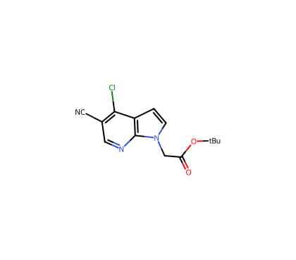 CC(C)(C)OC(=O)Cn1ccc2c(Cl)c(C#N)cnc21